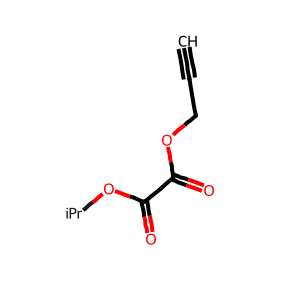 C#CCOC(=O)C(=O)OC(C)C